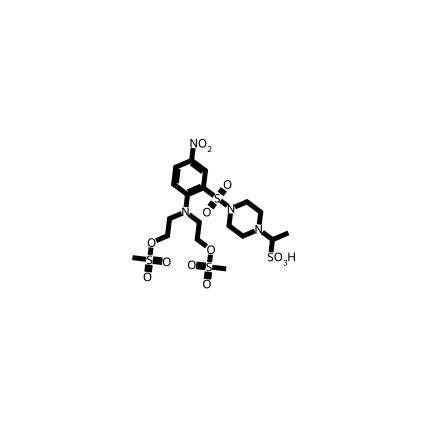 CC(N1CCN(S(=O)(=O)c2cc([N+](=O)[O-])ccc2N(CCOS(C)(=O)=O)CCOS(C)(=O)=O)CC1)S(=O)(=O)O